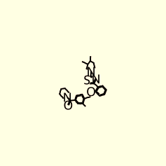 Cc1cc(C(=O)N2CCCCC2)ccc1COc1ccccc1-c1csc(N2CCC(C)C(C)C2)n1